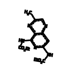 CCOC(=O)Nc1cc2ncc(C)nc2c(NC(=O)OCC)n1